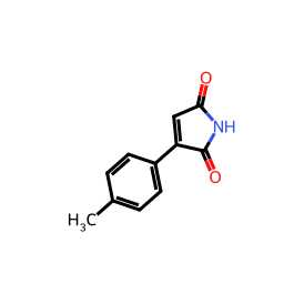 Cc1ccc(C2=CC(=O)NC2=O)cc1